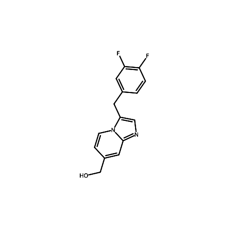 OCc1ccn2c(Cc3ccc(F)c(F)c3)cnc2c1